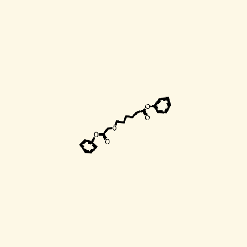 O=C(CCCCCOCC(=O)Oc1ccccc1)Oc1ccccc1